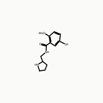 COc1ccc(S)cc1C(=O)NCC1CCCN1